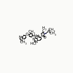 Cc1cc(Nc2ncnc3ccc(N4C[C@H](C)/C(=C\CN(C)C)C4=O)nc23)ccc1Oc1ccc2c(c1)ncn2C.Cl